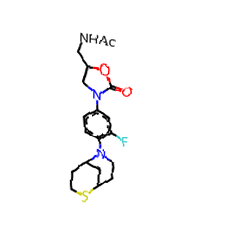 CC(=O)NCC1CN(c2ccc(N3CCC4CC3CCS4)c(F)c2)C(=O)O1